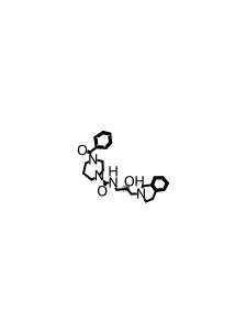 O=C(NC[C@H](O)CN1CCc2ccccc2C1)N1CCCN(C(=O)c2ccccc2)CC1